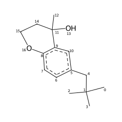 CC(C)(C)Cc1ccc2c(c1)C(C)(O)CCO2